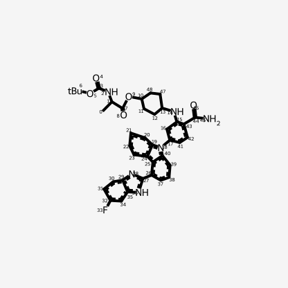 CC(NC(=O)OC(C)(C)C)C(=O)OC1CCC(Nc2cc(-n3c4ccccc4c4c(-c5nc6ccc(F)cc6[nH]5)cccc43)ccc2C(N)=O)CC1